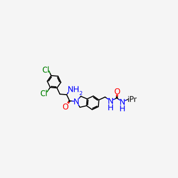 CC(C)NC(=O)NCc1ccc2c(c1)CN(C(=O)[C@H](N)Cc1ccc(Cl)cc1Cl)C2